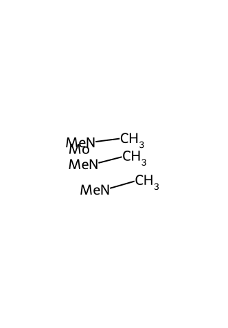 CNC.CNC.CNC.[Mo]